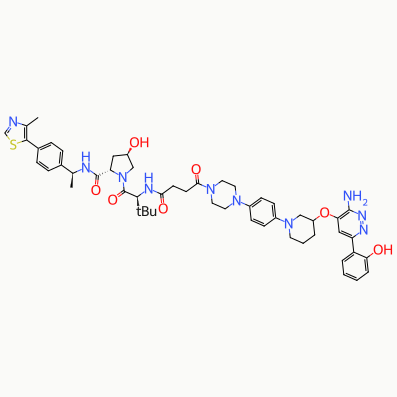 Cc1ncsc1-c1ccc([C@H](C)NC(=O)[C@@H]2C[C@@H](O)CN2C(=O)[C@@H](NC(=O)CCC(=O)N2CCN(c3ccc(N4CCCC(Oc5cc(-c6ccccc6O)nnc5N)C4)cc3)CC2)C(C)(C)C)cc1